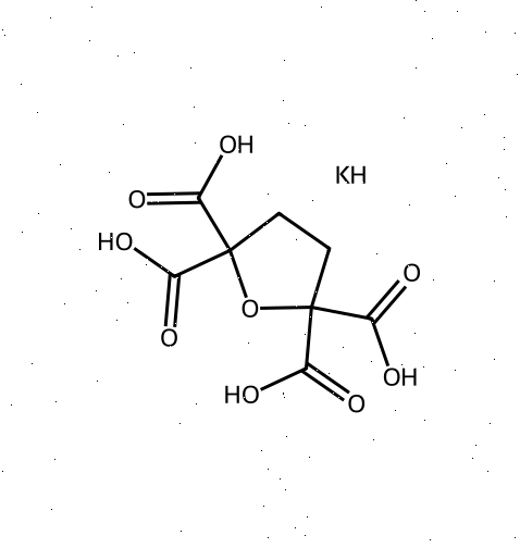 O=C(O)C1(C(=O)O)CCC(C(=O)O)(C(=O)O)O1.[KH]